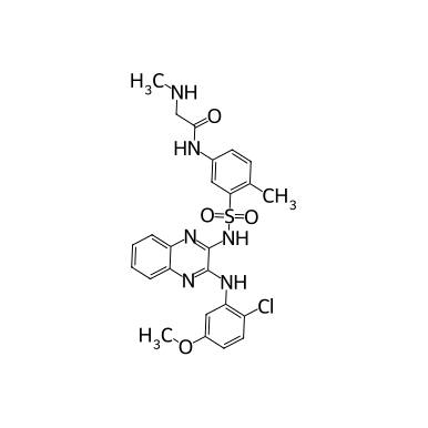 CNCC(=O)Nc1ccc(C)c(S(=O)(=O)Nc2nc3ccccc3nc2Nc2cc(OC)ccc2Cl)c1